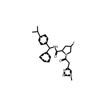 CC(C)c1ccc(C(NC(=O)C2CC(F)CN2C(=O)Cc2cn(C)nn2)c2ccccc2)cc1